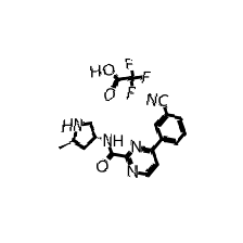 C[C@@H]1C[C@@H](NC(=O)c2nccc(-c3cccc(C#N)c3)n2)CN1.O=C(O)C(F)(F)F